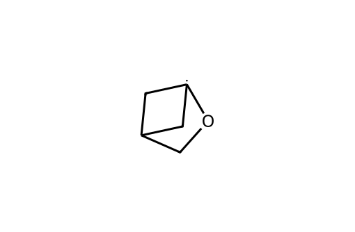 C1O[C]2CC1C2